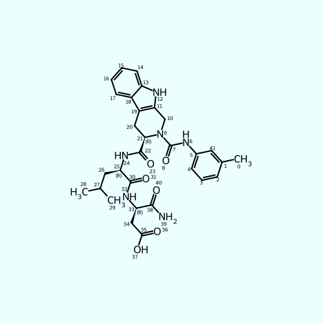 Cc1cccc(NC(=O)N2Cc3[nH]c4ccccc4c3C[C@@H]2C(=O)N[C@H](CC(C)C)C(=O)N[C@H](CC(=O)O)C(N)=O)c1